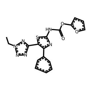 CCn1nnc(-c2sc(NC(=O)Oc3ccco3)nc2-c2ccccc2)n1